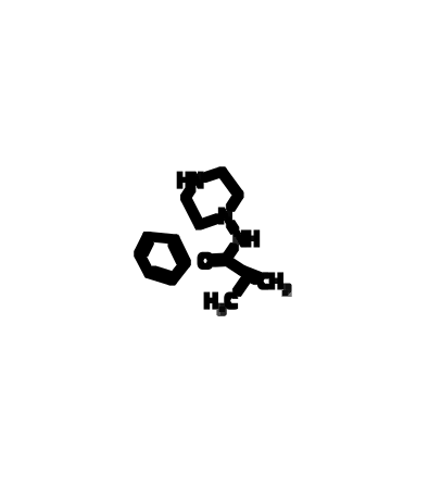 C=C(C)C(=O)NN1CCNCC1.c1ccccc1